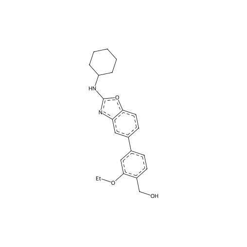 CCOc1cc(-c2ccc3oc(NC4CCCCC4)nc3c2)ccc1CO